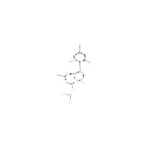 CCC(CC)Oc1nc(C)nc2c(-c3c(C)cc(C)cc3C)cnn12